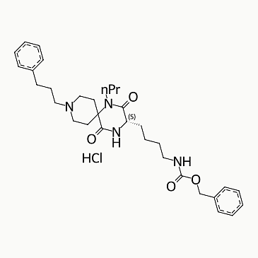 CCCN1C(=O)[C@H](CCCCNC(=O)OCc2ccccc2)NC(=O)C12CCN(CCCc1ccccc1)CC2.Cl